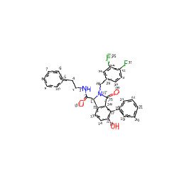 O=C(NCCc1ccccc1)C1c2ccc(O)c(-c3ccccc3)c2C(=O)N1Cc1ccc(F)c(F)c1